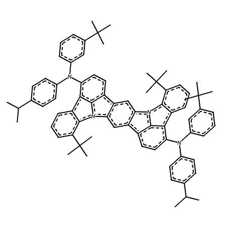 CC(C)c1ccc(N(c2cccc(C(C)(C)C)c2)c2ccc3c4cc5c(cc4n4c6c(C(C)(C)C)cccc6c2c34)c2ccc(N(c3ccc(C(C)C)cc3)c3cccc(C(C)(C)C)c3)c3c4cccc(C(C)(C)C)c4n5c23)cc1